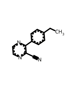 CCc1ccc(-c2nccnc2C#N)cc1